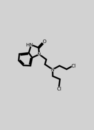 O=c1[nH]c2ccccc2n1CCN(CCCl)CCCl